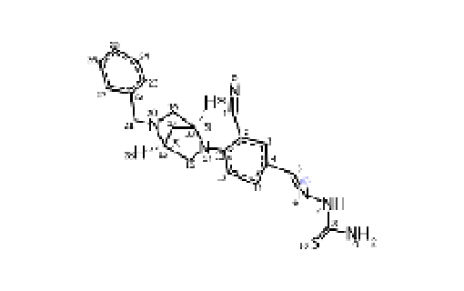 N#Cc1cc(/C=N/NC(N)=S)ccc1N1C[C@@H]2C[C@H]1CN2Cc1ccccc1